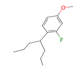 CCCC(CCC)c1ccc(OC)cc1F